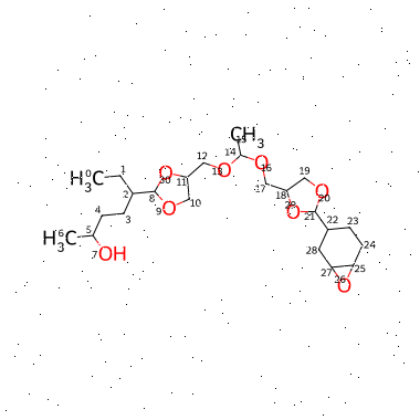 CCC(CCC(C)O)C1OCC(COC(C)OCC2COC(C3CCC4OC4C3)O2)O1